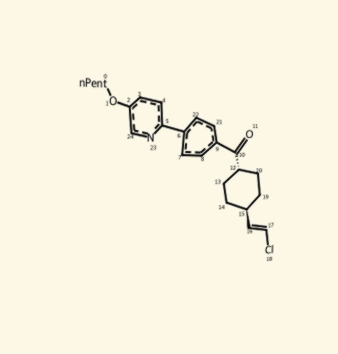 CCCCCOc1ccc(-c2ccc(C(=O)[C@H]3CC[C@H](/C=C/Cl)CC3)cc2)nc1